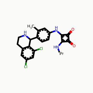 Cc1cc(Nc2c(NC(C)C)c(=O)c2=O)ccc1C1NCCc2cc(Cl)cc(Cl)c21